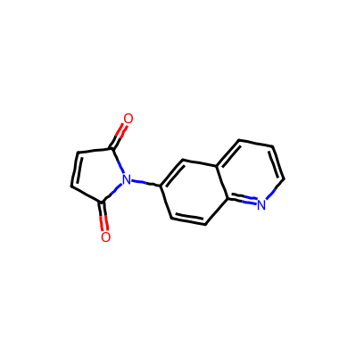 O=C1C=CC(=O)N1c1ccc2ncccc2c1